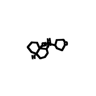 O[C@]12CCCC[C@@H]1CCC[C@@H]2NC1CCOCC1